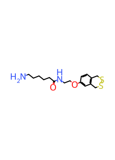 NCCCCCC(=O)NCCOc1ccc2c(c1)CSSC2